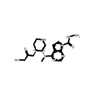 CN(c1ncnc2c1ccn2C(=O)NN)[C@H]1CNCC[C@@H]1CC(=O)CC#N